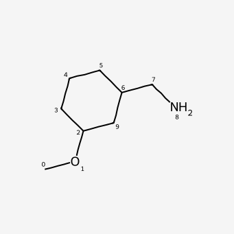 COC1CCCC(CN)C1